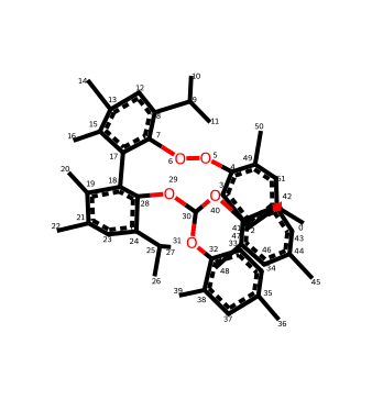 Cc1ccc(OOc2c(C(C)C)cc(C)c(C)c2-c2c(C)c(C)cc(C(C)C)c2OC(Oc2ccc(C)cc2C)Oc2ccc(C)cc2C)c(C)c1